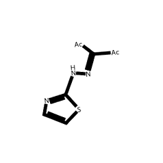 CC(=O)C(=NNc1nccs1)C(C)=O